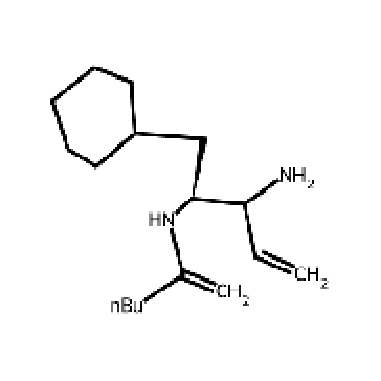 C=CC(N)[C@H](CC1CCCCC1)NC(=C)CCCC